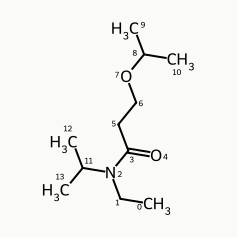 CCN(C(=O)CCOC(C)C)C(C)C